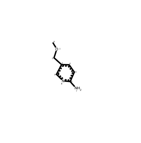 COCc1ccc(N)nc1